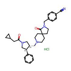 Cl.N#Cc1ccc(CN2CCC3(CCN(C[C@H]4CN(C(=O)CC5CC5)C[C@@H]4c4ccccc4)CC3)C2=O)cc1